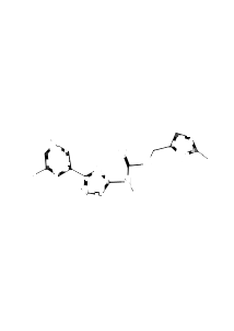 Cc1ccc(COC(=O)N(C)c2cnc(-c3cncc(F)c3)s2)o1